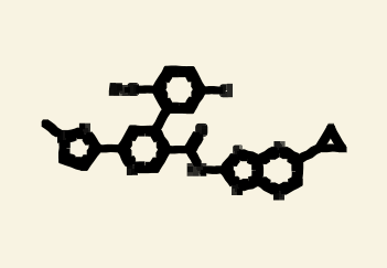 COc1ccc(Cl)cc1-c1cc(-c2ccn(C)n2)ncc1C(=O)Nc1nc2ncc(C3CC3)nc2s1